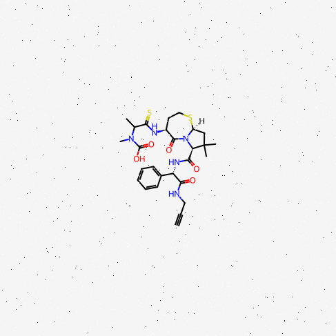 C#CCNC(=O)[C@@H](NC(=O)[C@H]1N2C(=O)[C@@H](NC(=S)C(C)N(C)C(=O)O)CCS[C@H]2CC1(C)C)c1ccccc1